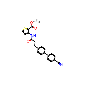 COC(=O)c1sccc1NC(=O)CCc1ccc(-c2ccc(C#N)cc2)cc1